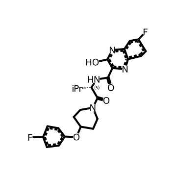 CC(C)[C@H](NC(=O)c1nc2ccc(F)cc2nc1O)C(=O)N1CCC(Oc2ccc(F)cc2)CC1